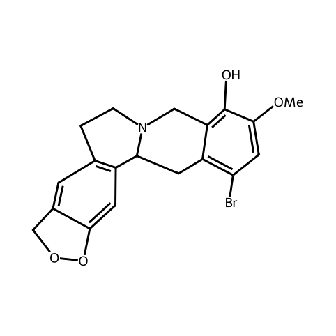 COc1cc(Br)c2c(c1O)CN1CCc3cc4c(cc3C1C2)OOC4